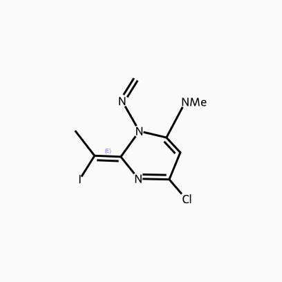 C=NN1C(NC)=CC(Cl)=N/C1=C(/C)I